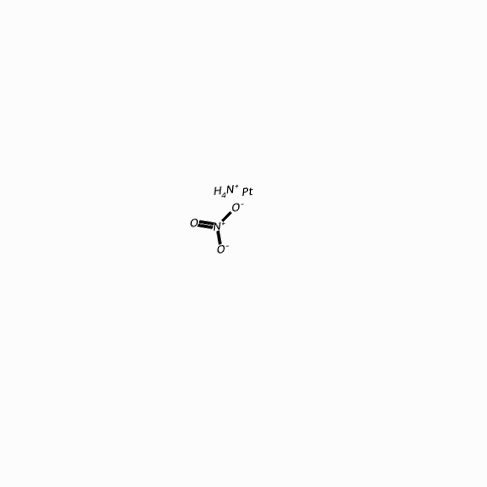 O=[N+]([O-])[O-].[NH4+].[Pt]